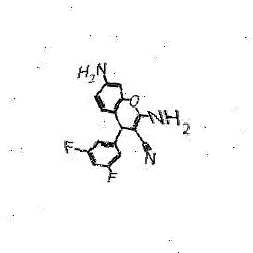 N#CC1=C(N)Oc2cc(N)ccc2C1c1cc(F)cc(F)c1